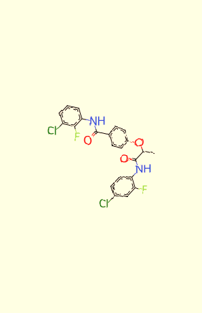 CC(Oc1ccc(C(=O)Nc2cccc(Cl)c2F)cc1)C(=O)Nc1ccc(Cl)cc1F